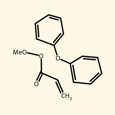 C=CC(=O)OOC.c1ccc(Oc2ccccc2)cc1